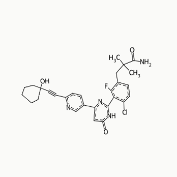 CC(C)(Cc1ccc(Cl)c(-c2nc(-c3ccc(C#CC4(O)CCCCC4)nc3)cc(=O)[nH]2)c1F)C(N)=O